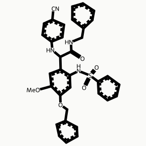 COc1cc(C(Nc2ccc(C#N)cc2)C(=O)NCc2ccccc2)c(NS(=O)(=O)c2ccccc2)cc1OCc1ccccc1